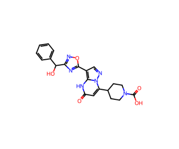 O=C(O)N1CCC(c2cc(=O)[nH]c3c(-c4nc(C(O)c5ccccc5)no4)cnn23)CC1